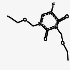 CCOCn1cc(F)c(=O)n(COCC)c1=O